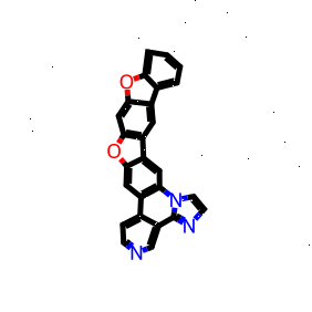 c1ccc2c(c1)oc1cc3oc4cc5c6ccncc6c6nccn6c5cc4c3cc12